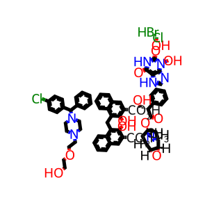 Br.CN1[C@@H]2C[C@@H](OC(=O)[C@H](CO)c3ccccc3)C[C@H]1[C@@H]1O[C@@H]12.O=C(O)c1cc2ccccc2c(Cc2c(O)c(C(=O)O)cc3ccccc23)c1O.O=c1[nH]c(=O)n(O)c2nc[nH]c12.OCCOCCN1CCN(C(c2ccccc2)c2ccc(Cl)cc2)CC1.OCl